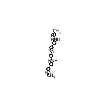 Cc1ccc(-c2nc3cc(-c4ccc5nc(-c6ccc(-c7nc8cc(-c9ccc%10nc(C)[nH]c%10c9)ccc8[nH]7)cc6)[nH]c5c4)ccc3[nH]2)nc1